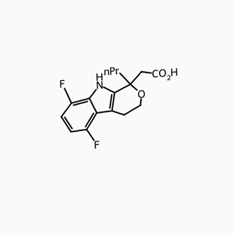 CCCC1(CC(=O)O)OCCc2c1[nH]c1c(F)ccc(F)c21